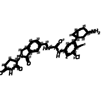 Cc1c(Cl)cc(NC(=O)NCc2ccc3c(c2)C(=O)N(C2CCC(=O)NC2=O)C3)cc1C12CC(N)CC1C2